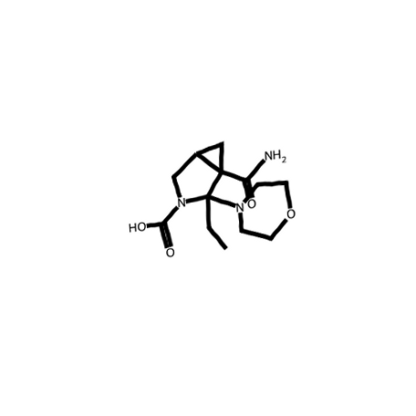 CCC1(N2CCOCC2)N(C(=O)O)CC2CC21C(N)=O